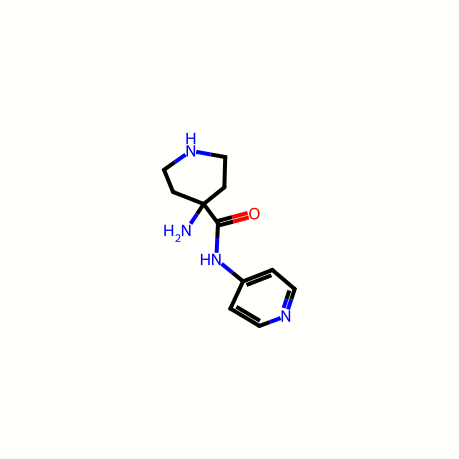 NC1(C(=O)Nc2ccncc2)CCNCC1